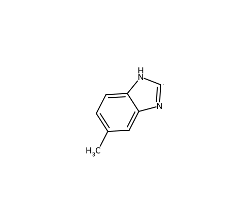 Cc1ccc2[nH][c]nc2c1